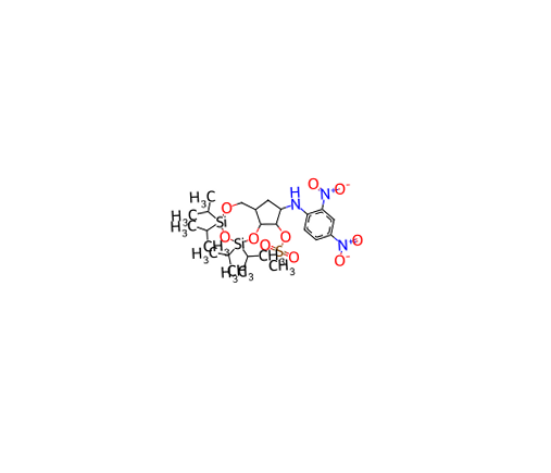 CC(C)[Si]1(C(C)C)OCC2CC(Nc3ccc([N+](=O)[O-])cc3[N+](=O)[O-])C(OS(C)(=O)=O)C2O[Si](C(C)C)(C(C)C)O1